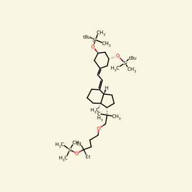 CCC(CC)(CCCOCC(C)(C)[C@H]1CC[C@H]2/C(=C/C=C3C[C@@H](O[Si](C)(C)C(C)(C)C)C[C@H](O[Si](C)(C)C(C)(C)C)C3)CCC[C@]12C)O[Si](C)(C)C